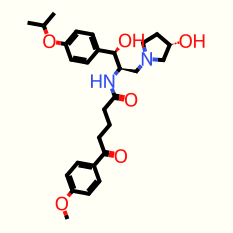 COc1ccc(C(=O)CCCC(=O)N[C@H](CN2CC[C@H](O)C2)[C@H](O)c2ccc(OC(C)C)cc2)cc1